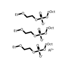 CCCCCCCCOP(=O)([O-])OCCOCC.CCCCCCCCOP(=O)([O-])OCCOCC.CCCCCCCCOP(=O)([O-])OCCOCC.[Al+3]